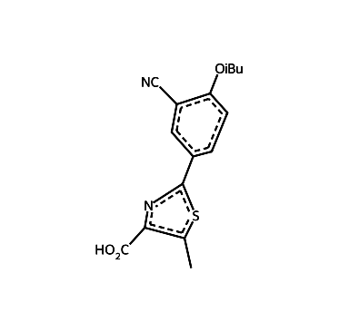 Cc1sc(-c2ccc(OCC(C)C)c(C#N)c2)nc1C(=O)O